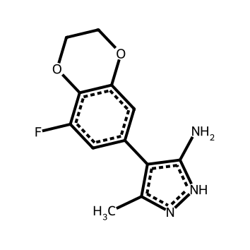 Cc1n[nH]c(N)c1-c1cc(F)c2c(c1)OCCO2